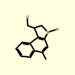 Cc1cc2c(c3ccccc13)C(CCl)CN2C(C)C